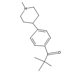 CN1CCC(c2ccc(C(=O)C(C)(C)C)cc2)CC1